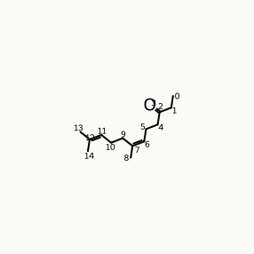 CCC(=O)CCC=C(C)CCC=C(C)C